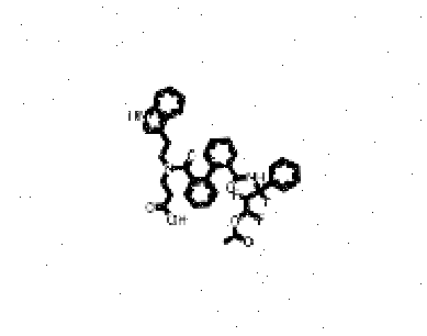 CC(=O)OC(F)C(F)C(F)(NC(=O)c1ccccc1-c1ccccc1C(=O)N(CCC(=O)O)CCc1c[nH]c2ccccc12)c1ccccc1